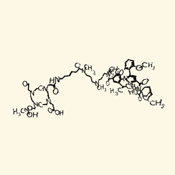 COc1cccc(OC)c1-c1cc(C(=O)NC2(C(=O)O)CCC3CC(C)CC2C3)nn1-c1ccc(C(=O)N(C)CCCN(C)CCCN(C)C(=O)CCCCCNC(=O)CN2CCN(CC=O)CCN(CON(C)O)CCN(CC(=O)O)CC2)cc1C(C)C